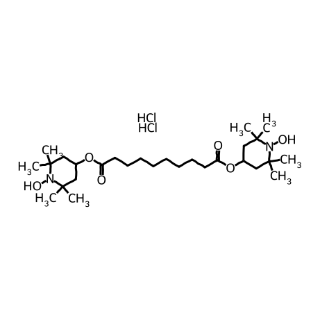 CC1(C)CC(OC(=O)CCCCCCCCC(=O)OC2CC(C)(C)N(O)C(C)(C)C2)CC(C)(C)N1O.Cl.Cl